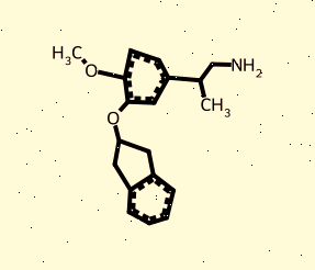 COc1ccc(C(C)CN)cc1OC1Cc2ccccc2C1